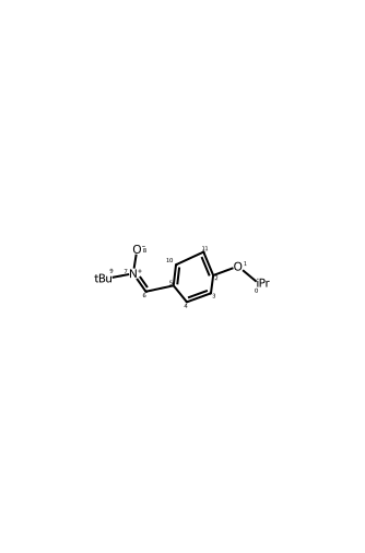 CC(C)Oc1ccc(/C=[N+](\[O-])C(C)(C)C)cc1